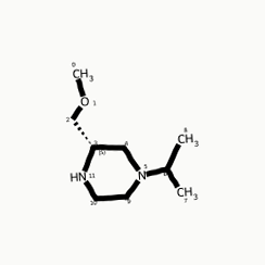 COC[C@@H]1CN(C(C)C)CCN1